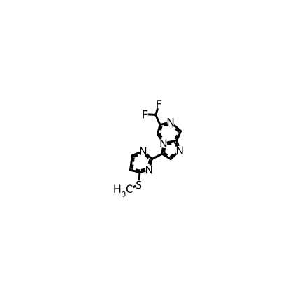 CSc1ccnc(-c2cnc3cnc(C(F)F)cn23)n1